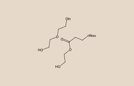 CCCCCCCCCCCC(=O)OCCO.OCCOCCO